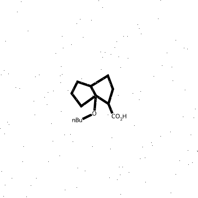 CCCCOC12CCCC1CCC2C(=O)O